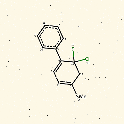 CSC1=CC=C(c2ccccc2)C(F)(Cl)C1